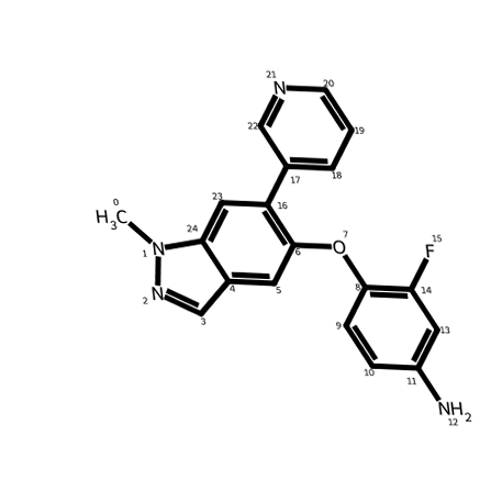 Cn1ncc2cc(Oc3ccc(N)cc3F)c(-c3cccnc3)cc21